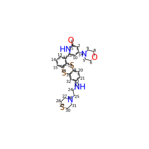 O=c1cc(N2CCOCC2)cc(-c2cccc3c2Sc2ccc(NCCN4CCSCC4)cc2S3)[nH]1